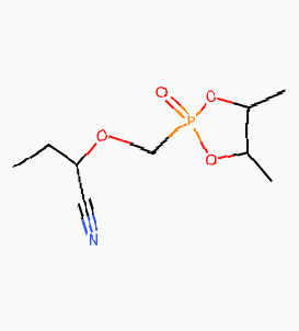 CCC(C#N)OCP1(=O)OC(C)C(C)O1